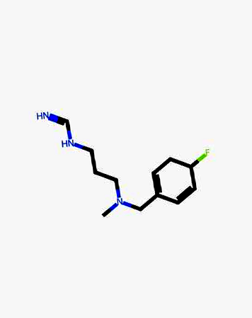 CN(CCCNC=N)CC1=CCC(F)C=C1